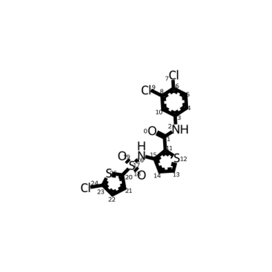 O=C(Nc1ccc(Cl)c(Cl)c1)c1sccc1NS(=O)(=O)c1ccc(Cl)s1